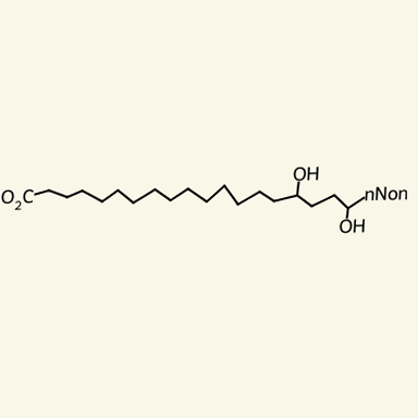 CCCCCCCCCC(O)CCC(O)CCCCCCCCCCCCCCC(=O)O